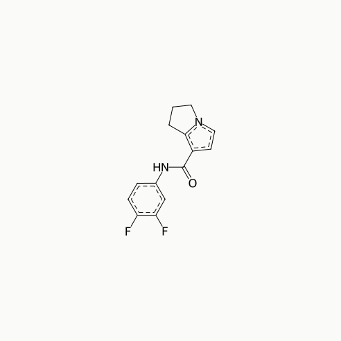 O=C(Nc1ccc(F)c(F)c1)c1ccn2c1CCC2